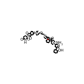 Nc1nnc(-c2ccccc2O)cc1N1CCC(C(=O)N2CC3(CCN(CCOC4CCN(c5ccc6c(c5)C(=O)N(C5CCC(=O)NC5=O)C6=O)CC4)C3)C2)(c2ccccc2)CC1